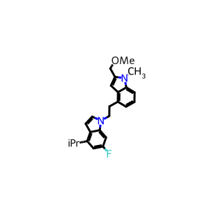 COCc1cc2c(CCn3ccc4c(C(C)C)cc(F)cc43)cccc2n1C